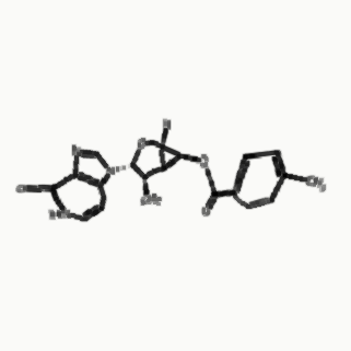 CC(=O)O[C@@H]1C2C(OC(=O)c3ccc(C)cc3)[C@H]2O[C@H]1n1cnc2c(=O)[nH]ccc21